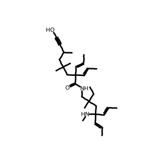 CC=CC(C=CC)(CC(C)(CC)CNC(=O)C(C=CC)(C=CC)CC(C)(C)CC(C)C#CO)NC